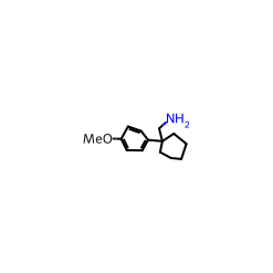 COc1ccc(C2(CN)CCCCC2)cc1